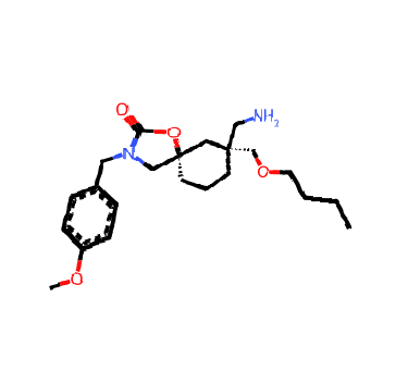 CCCCOC[C@]1(CN)CCC[C@@]2(CN(Cc3ccc(OC)cc3)C(=O)O2)C1